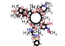 CON=C1C[C@@H](C)O[C@@H](O[C@@H]2[C@@H](C)[C@H](O[C@H]3C[C@@H](C)N(C)C[C@H](C)O3)[C@@H](C)C(=O)O[C@H]([C@@H](C)CO[C@@H]3O[C@H](C)[C@@H](O)[C@@H](OC)[C@H]3OC)[C@H](C)[C@@H](OC(=O)CC(C)C)[C@@H](C)C(=O)[C@@](C)(OC(=O)NC(C)(C)CNS(=O)(=O)c3ccccc3)C[C@@H]2C)[C@@H]1O